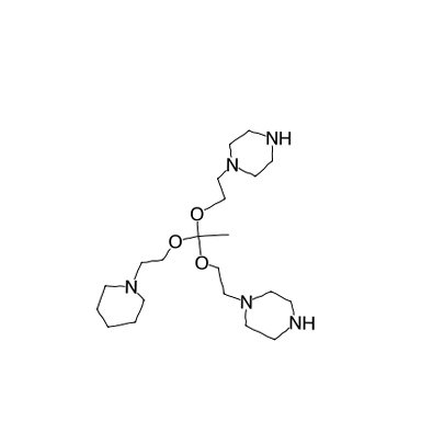 CC(OCCN1CCCCC1)(OCCN1CCNCC1)OCCN1CCNCC1